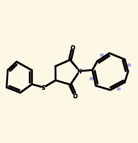 O=C1CC(Sc2ccccc2)C(=O)N1C1=C/C=C\C=C/C=C\1